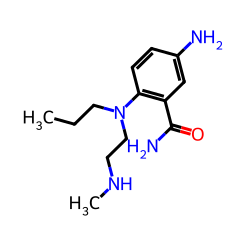 CCCN(CCNC)c1ccc(N)cc1C(N)=O